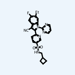 CCc1cc2c(cc1F)c(C#N)c(-c1ccc(S(=O)(=O)NCC3CCC3)cn1)n2-c1ncccn1